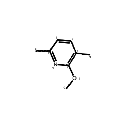 COc1nc(C)ccc1C